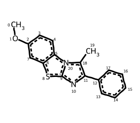 COc1ccc2c(c1)sc1nc(-c3ccccc3)c(C)n12